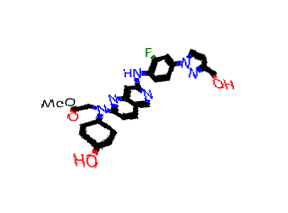 COC(=O)CN(c1ccc2cnc(Nc3ccc(-n4ccc(CO)n4)cc3F)cc2n1)C1CCC(O)CC1